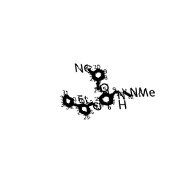 CCc1c(COc2ccc(CNCCNC)c(OCc3cccc(C#N)c3)c2)cccc1-c1ccccc1